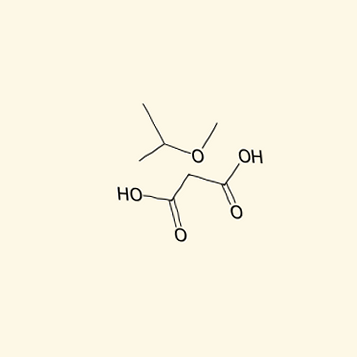 COC(C)C.O=C(O)CC(=O)O